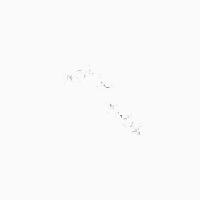 Nc1ccc(NC2CCN(C(=S)CCCN3CCN(c4ccc(C(F)(F)F)cc4)CC3)CC2)cc1